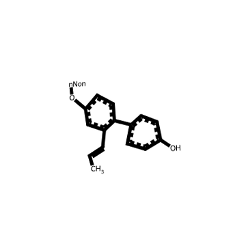 CC=Cc1cc(OCCCCCCCCC)ccc1-c1ccc(O)cc1